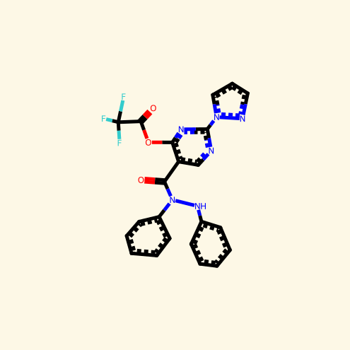 O=C(c1cnc(-n2cccn2)nc1OC(=O)C(F)(F)F)N(Nc1ccccc1)c1ccccc1